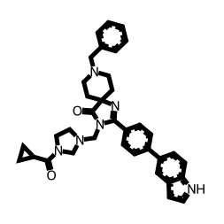 O=C(C1CC1)N1CCN(CN2C(=O)C3(CCN(Cc4ccccc4)CC3)N=C2c2ccc(-c3ccc4[nH]ccc4c3)cc2)C1